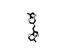 Cc1cnn2c1OC[C@H](CCc1cnn3c1OCCC3C)C2